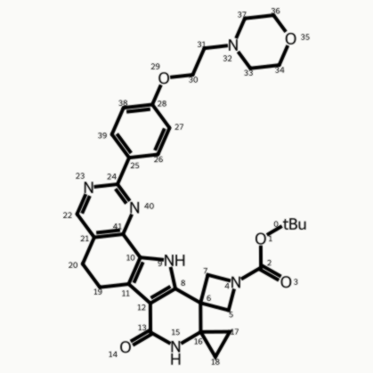 CC(C)(C)OC(=O)N1CC2(C1)c1[nH]c3c(c1C(=O)NC21CC1)CCc1cnc(-c2ccc(OCCN4CCOCC4)cc2)nc1-3